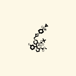 COC(=O)N[C@H]1CCC[C@@H]1[C@](CNC(=O)OC(C)(C)C)(c1cccc(F)c1)C1CCN(CC2CN(c3ccc(S(=O)(=O)C4CC4)cc3)C2)CC1